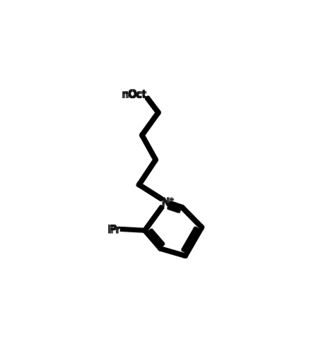 CCCCCCCCCCCC[n+]1ccccc1C(C)C